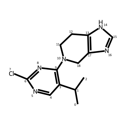 CC(C)c1cnc(Cl)nc1N1CCc2[nH]cnc2C1